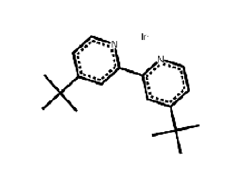 CC(C)(C)c1ccnc(-c2cc(C(C)(C)C)ccn2)c1.[Ir]